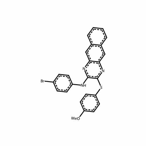 COc1ccc(Sc2nc3cc4ccccc4cc3nc2Nc2ccc(Br)cc2)cc1